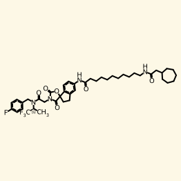 C[C@H](N(Cc1ccc(F)cc1)C(=O)CN1C(=O)OC2(CCc3cc(NC(=O)CCCCCCCCCCNC(=O)CC4CCCCCC4)ccc32)C1=O)C(F)(F)F